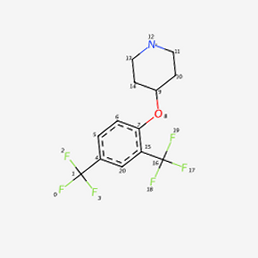 FC(F)(F)c1ccc(OC2CC[N]CC2)c(C(F)(F)F)c1